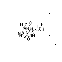 C[C@H](CO)Nc1nc(SCc2cccc(F)c2F)nc2[nH]c(=O)c(Sc3nncs3)nc12